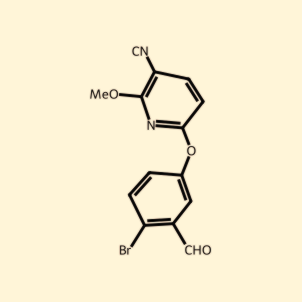 [C-]#[N+]c1ccc(Oc2ccc(Br)c(C=O)c2)nc1OC